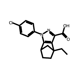 CCC12CCC(C1)c1c2c(C(=O)O)nn1-c1ccc(Cl)cc1